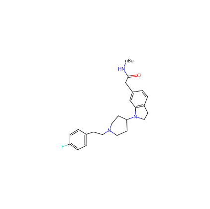 CCCCNC(=O)Cc1ccc2c(c1)N(C1CCN(CCc3ccc(F)cc3)CC1)CC2